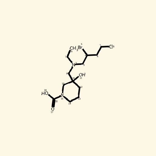 CCN(CC(Br)CCCl)CC1(O)CCCN(C(=O)O)C1